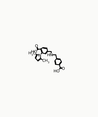 Cc1ccc(C)n1-c1cc(CNCc2ccc(C(=O)O)cc2)ccc1C(=O)O